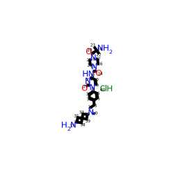 CN(CCc1ccc(-n2ccc(NC(=O)N3CCN(C(=O)C(C)(C)N)CC3)nc2=O)cc1)C1CC2(CC(N)C2)C1.Cl